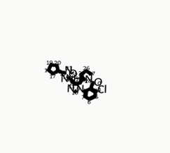 O=C1c2c(Cl)cccc2-n2cnc(-c3nc(C4CCCC4)no3)c2[C@@H]2CCCN12